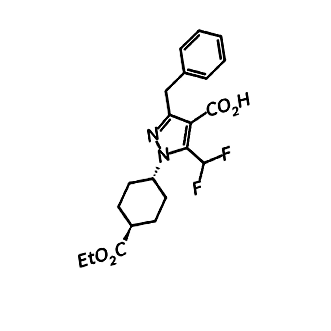 CCOC(=O)[C@H]1CC[C@H](n2nc(Cc3ccccc3)c(C(=O)O)c2C(F)F)CC1